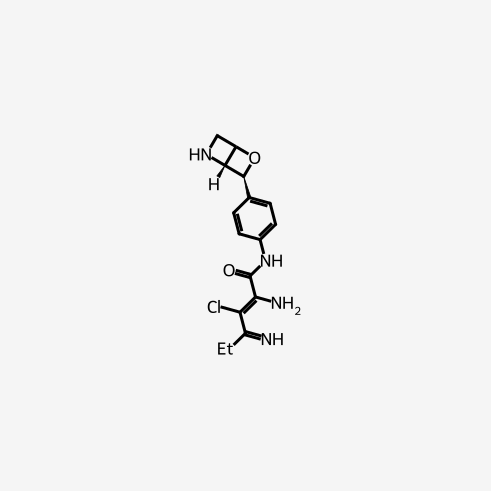 CCC(=N)/C(Cl)=C(\N)C(=O)Nc1ccc([C@@H]2OC3CN[C@H]32)cc1